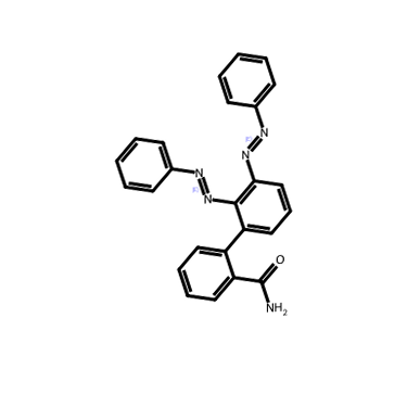 NC(=O)c1ccccc1-c1cccc(/N=N/c2ccccc2)c1/N=N/c1ccccc1